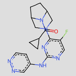 O=C(C1CC1)N1C2CCC1CN(c1nc(Nc3ccnnc3)ncc1F)C2